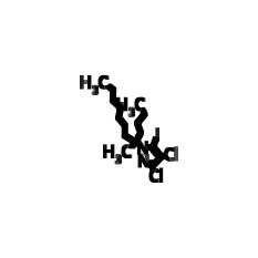 CCCCCCCC(C)(CCCC)n1nc(Cl)c(Cl)c1I